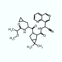 COC(C)C(=O)NC(CC1CC1)C(=O)N1CC2C(C1C(=O)NC(C#N)c1cncc3cccnc13)C2(C)C